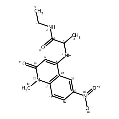 CCNC(=O)C(C)Nc1cc(=O)n(C)c2ccc([N+](=O)[O-])cc12